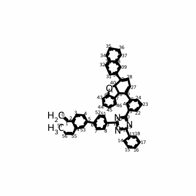 C=Cc1ccc(-c2ccc(-c3nc(-c4ccccc4)nc(-c4cccc(C5=CC=C(c6ccc7ccccc7c6)C6Oc7ccccc7C56)c4)n3)cc2)cc1/C=C\C